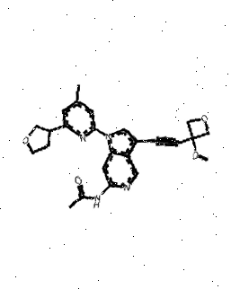 COC1(C#Cc2cn(-c3cc(C)cc(C4CCOC4)n3)c3cc(NC(C)=O)ncc23)COC1